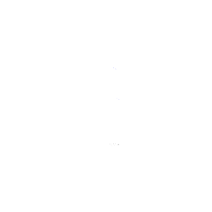 CNCCC(c1cccs1)N1CCCc2ncccc21